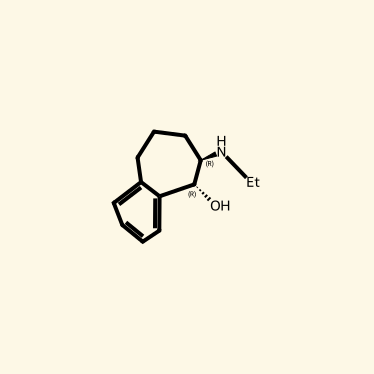 CCN[C@@H]1CCCc2ccccc2[C@H]1O